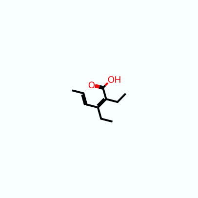 CC=CC(CC)=C(CC)C(=O)O